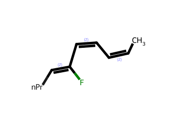 C\C=C/C=C\C(F)=C\CCC